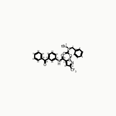 CC(C)(C)N(Cc1ccccc1)C(=O)On1nc(C(F)(F)F)cc1C(=O)Nc1cccc(C(=O)c2ccccc2)c1